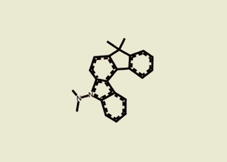 CN(C)n1c2ccccc2c2c3c(ccc21)C(C)(C)c1ccccc1-3